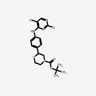 CC(C)(C)OC(=O)N1CCOC(c2ccc(Nc3nc(Cl)ncc3Cl)cc2)C1